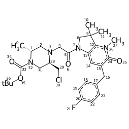 C[C@@H]1CN(CC(=O)N2CC(C)(C)c3c2cc(Cc2ccc(F)cc2)c(=O)n3C)[C@@H](CCl)CN1C(=O)OC(C)(C)C